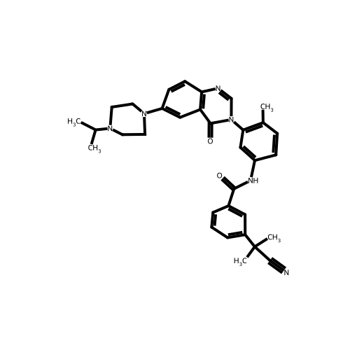 Cc1ccc(NC(=O)c2cccc(C(C)(C)C#N)c2)cc1-n1cnc2ccc(N3CCN(C(C)C)CC3)cc2c1=O